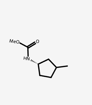 COC(=O)N[C@H]1CCC(C)C1